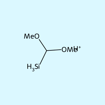 COC([SiH3])OC.[H+]